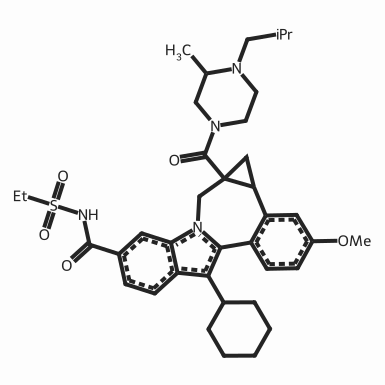 CCS(=O)(=O)NC(=O)c1ccc2c(C3CCCCC3)c3n(c2c1)CC1(C(=O)N2CCN(CC(C)C)C(C)C2)CC1c1cc(OC)ccc1-3